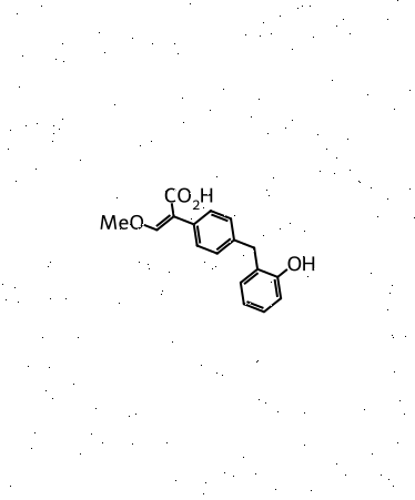 COC=C(C(=O)O)c1ccc(Cc2ccccc2O)cc1